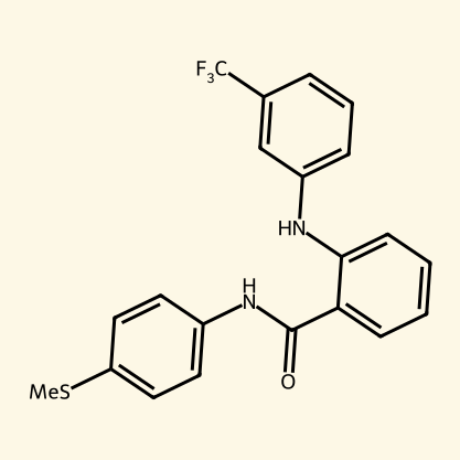 CSc1ccc(NC(=O)c2ccccc2Nc2cccc(C(F)(F)F)c2)cc1